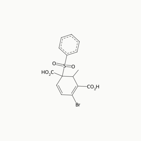 CC1C(C(=O)O)=C(Br)C=CC1(C(=O)O)S(=O)(=O)c1ccccc1